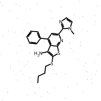 CCCCSc1sc2nc(-c3nccn3C)cc(-c3ccccc3)c2c1N